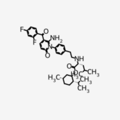 CC(C)C[C@@H](NCCc1ccc(-n2c(N)c(C(=O)c3ccc(F)cc3F)ccc2=O)cc1)C(=O)O[C@@H]1C[C@@H](C)CC[C@H]1C(C)C